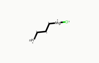 CCCCC[CH2][Mg][Cl]